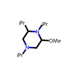 COC1CN(C(C)C)CC(C(C)C)N1C(C)C